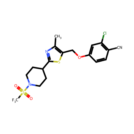 Cc1nc(C2CCN(S(=O)(=O)C(F)(F)F)CC2)sc1COc1ccc(C#N)c(Cl)c1